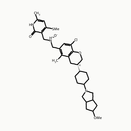 COC1CC2CN(C3CCC([C@H]4COc5c(Cl)cc(C[NH+]([O-])Cc6c(SC)cc(C)[nH]c6=O)c(C)c5C4)CC3)CC2C1